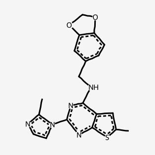 Cc1cc2c(NCc3ccc4c(c3)OCO4)nc(-n3ccnc3C)nc2s1